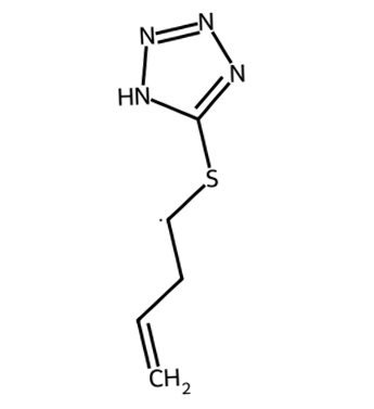 C=CC[CH]Sc1nnn[nH]1